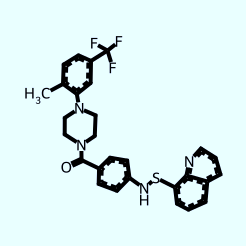 Cc1ccc(C(F)(F)F)cc1N1CCN(C(=O)c2ccc(NSc3cccc4cccnc34)cc2)CC1